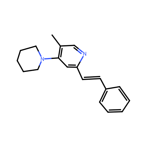 Cc1cnc(/C=C/c2ccccc2)cc1N1CCCCC1